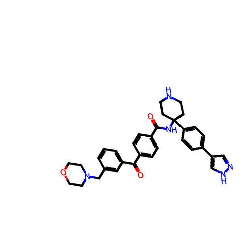 O=C(NC1(c2ccc(-c3cn[nH]c3)cc2)CCNCC1)c1ccc(C(=O)c2cccc(CN3CCOCC3)c2)cc1